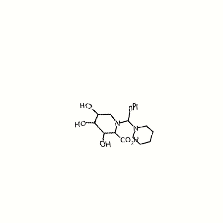 CCCC(N1CCCCC1)N1CC(O)C(O)C(O)C1C(=O)O